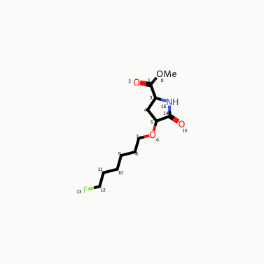 COC(=O)C1CC(OCCCCCCF)C(=O)N1